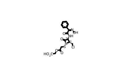 O=C(O)COC(=O)CSN1C(=O)[C@@H](NC(=O)C(=NO)c2ccccc2)[C@H]1CCl